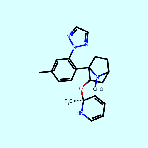 Cc1ccc(C23CCC(CC2O[C@@]2(C(F)(F)F)C=CC=CN2)N3C=O)c(-n2nccn2)c1